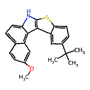 COc1ccc2ccc3[nH]c4sc5ccc(C(C)(C)C)cc5c4c3c2c1